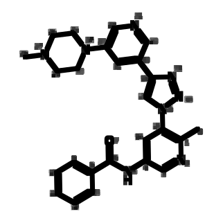 Cc1ncc(NC(=O)c2ccccc2)cc1-n1cc(-c2cncc(N3CCN(C)CC3)c2)nn1